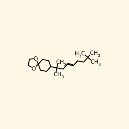 CC(C)(C)CC/C=C/CC(C)(C)C1CCC2(CC1)OCCO2